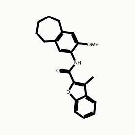 COc1cc2c(cc1NC(=O)c1oc3ccccc3c1C)CCCCC2